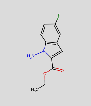 CCOC(=O)c1cc2cc(F)ccc2n1N